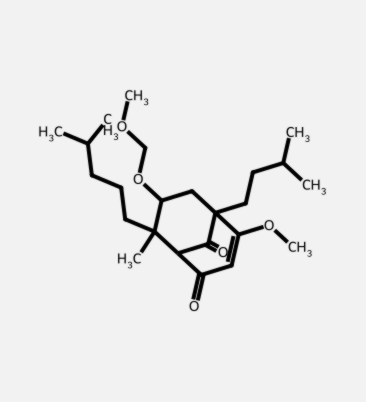 COCOC1CC2(CCC(C)C)C(=O)C(C(=O)C=C2OC)C1(C)CCCC(C)C